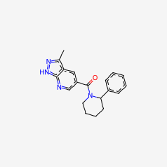 Cc1n[nH]c2ncc(C(=O)N3CCCCC3c3ccccc3)cc12